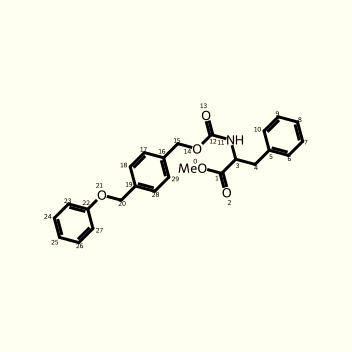 COC(=O)C(Cc1ccccc1)NC(=O)OCc1ccc(COc2ccccc2)cc1